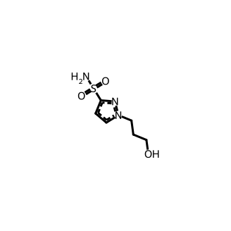 NS(=O)(=O)c1ccn(CCCO)n1